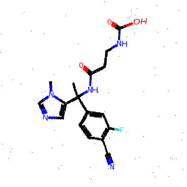 Cn1cncc1C(C)(NC(=O)CCNC(=O)O)c1ccc(C#N)c(F)c1